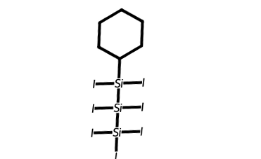 I[Si](I)(I)[Si](I)(I)[Si](I)(I)C1CCCCC1